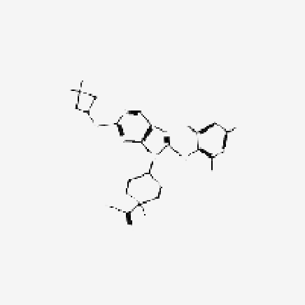 CC1(C(N)=O)CCC(n2c(Nc3c(Cl)cc(F)cc3Cl)nc3cnc(NC4CC(F)(F)C4)nc32)CC1